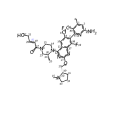 Cc1cc(N)nc(-c2c(Cl)cc3c(N4CCN(C(=O)/C=C/CO)C[C@@H]4C)nc(OC[C@@H]4CCCN4C)nc3c2F)c1C(F)(F)F